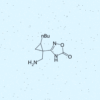 CCCCC1CC1(CN)c1noc(=O)[nH]1